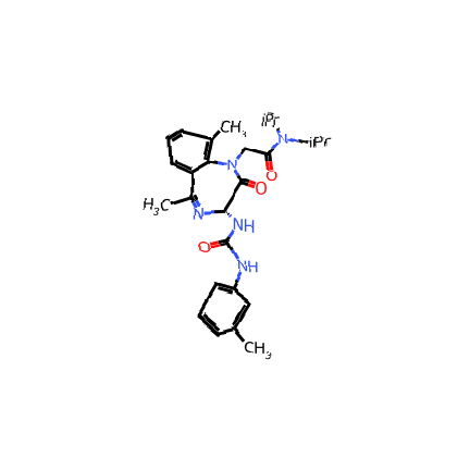 CC1=N[C@@H](NC(=O)Nc2cccc(C)c2)C(=O)N(CC(=O)N(C(C)C)C(C)C)c2c(C)cccc21